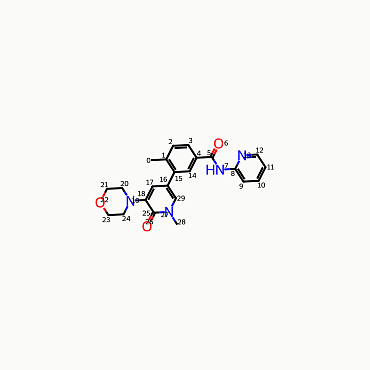 Cc1ccc(C(=O)Nc2ccccn2)cc1-c1cc(N2CCOCC2)c(=O)n(C)c1